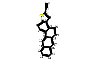 C#Cc1cc2c(ccc3c4cc5ccccc5cc4ccc23)s1